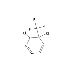 FC(F)(F)C1(Cl)C=CC=NC1Cl